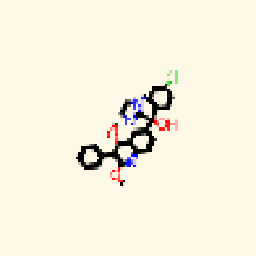 COc1nc2ccc(C(O)(c3ccc(Cl)cc3)c3nccn3C)cc2c(OC)c1-c1ccccc1